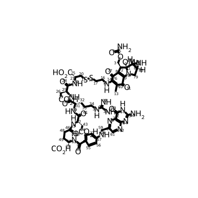 CO[C@@]12[C@H](COC(N)=O)C3=C(C(=O)C(C)=C(NCCSSC[C@H](NC(=O)[C@H](CC(=O)O)NC(=O)[C@H](CCCNC(=N)N)NC(=O)[C@H](CC(=O)O)NC(=O)CC[C@H](NC(=O)c4ccc(NCc5cnc6nc(N)[nH]c(=O)c6n5)cc4)C(=O)O)C(=O)O)C3=O)N1C[C@@H]1N[C@@H]12